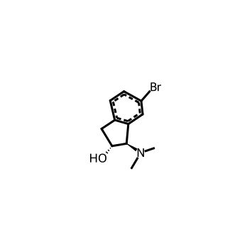 CN(C)[C@@H]1c2cc(Br)ccc2C[C@H]1O